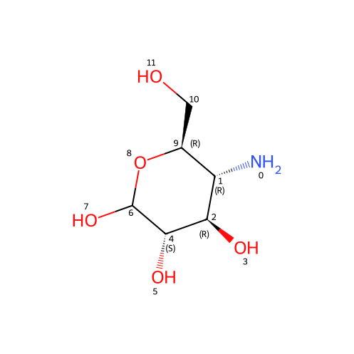 N[C@@H]1[C@@H](O)[C@H](O)C(O)O[C@H]1CO